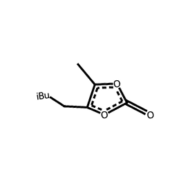 CCC(C)Cc1oc(=O)oc1C